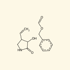 C=CC1CNC(=O)C1O.O=COCc1ccccc1